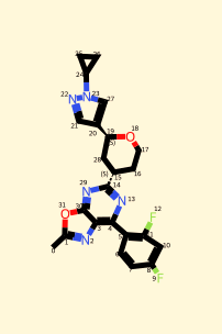 Cc1nc2c(-c3ccc(F)cc3F)nc([C@H]3CCO[C@H](c4cnn(C5CC5)c4)C3)nc2o1